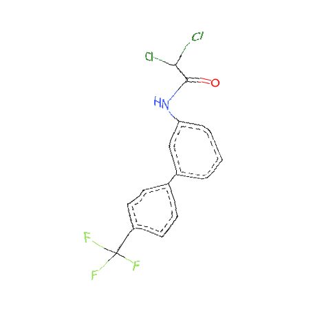 O=C(Nc1cccc(-c2ccc(C(F)(F)F)cc2)c1)C(Cl)Cl